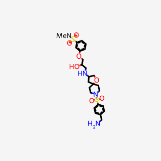 CNS(=O)(=O)c1cccc(OCC(O)CNC2COC3(CCN(S(=O)(=O)c4ccc(CN)cc4)CC3)C2)c1